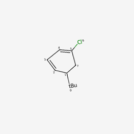 CC(C)(C)C1C=CC=C(Cl)C1